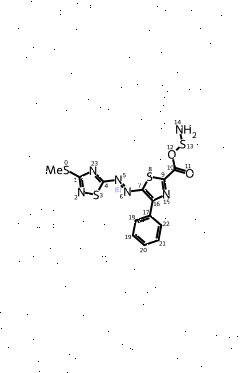 CSc1nsc(/N=N/c2sc(C(=O)OSN)nc2-c2ccccc2)n1